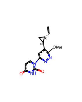 C=C[C@H]1C[C@@H]1c1cc(-n2ccc(=O)[nH]c2=O)nnc1OC